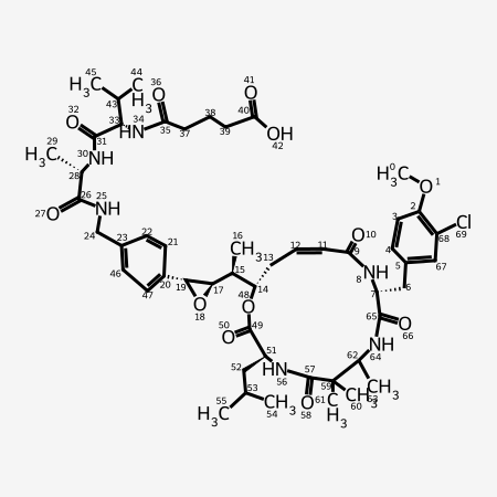 COc1ccc(C[C@H]2NC(=O)C=CC[C@@H]([C@H](C)[C@H]3O[C@@H]3c3ccc(CNC(=O)[C@H](C)NC(=O)[C@@H](NC(=O)CCCC(=O)O)C(C)C)cc3)OC(=O)[C@H](CC(C)C)NC(=O)C(C)(C)C(C)NC2=O)cc1Cl